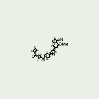 COc1cc(-c2cnn(C3CCN(C(=O)C4CN(C(=O)C5=CCC5)C4)CC3)c2)cn2ncc(C#N)c12